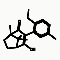 CCc1ccc(C)cc1C1=C(O)C2CCC(C)(C1=O)C2(C)C